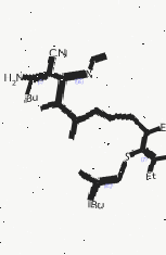 C=C/N=C(\C(C#N)=C(\N)C(C)CC)C(C)C(C)CCCC(CC)/C(S/C=C(\C)C(C)CC)=C(\C)CC